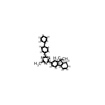 Cc1nc(-c2ccc(-c3ccccc3)cc2)nc(-c2ccc3c(c2)C(C)(C)C2=C3C=CCC2)n1